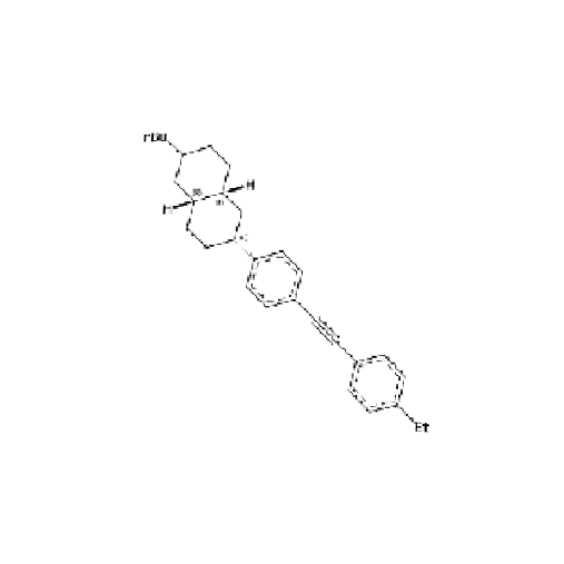 CCCCC1CC[C@@H]2C[C@H](c3ccc(C#Cc4ccc(CC)cc4)cc3)CC[C@@H]2C1